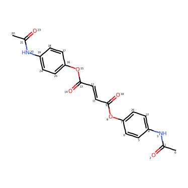 CC(=O)Nc1ccc(OC(=O)/C=C/C(=O)Oc2ccc(NC(C)=O)cc2)cc1